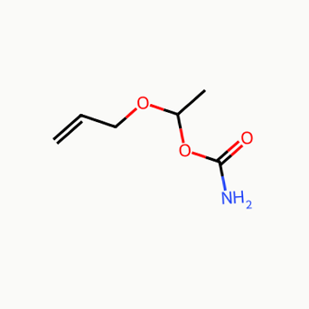 C=CCOC(C)OC(N)=O